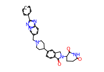 O=C1CCC(N2Cc3cc(C4CCN(Cc5ccc6nc(-c7ccccc7)nn6c5)CC4)ccc3C2=O)C(=O)N1